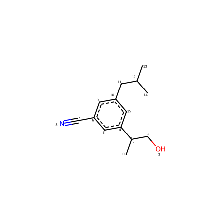 C[C](CO)c1cc(C#N)cc(CC(C)C)c1